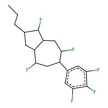 CCCC1CC2C(F)CC(c3cc(F)c(F)c(F)c3)C(F)CC2C1F